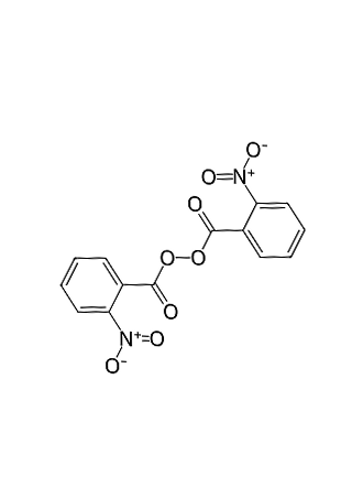 O=C(OOC(=O)c1ccccc1[N+](=O)[O-])c1ccccc1[N+](=O)[O-]